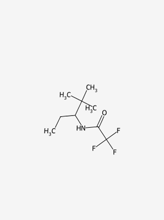 CCC(NC(=O)C(F)(F)F)C(C)(C)C